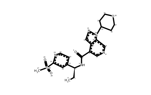 CC[C@H](NC(=O)c1cncc2c1cnn2C1CCOCC1)c1ccnc(S(C)(=O)=O)c1